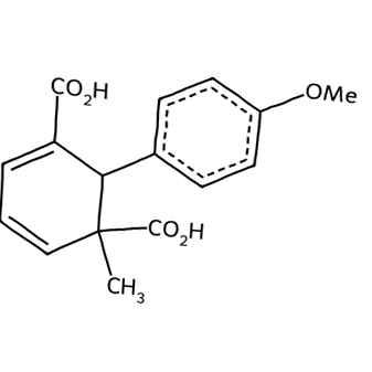 COc1ccc(C2C(C(=O)O)=CC=CC2(C)C(=O)O)cc1